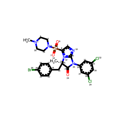 CN1CCN(S(=O)(=O)c2cnc3n2[C@](C)(Cc2ccc(Br)cc2)C(=O)N3c2cc(Cl)cc(Cl)c2)CC1